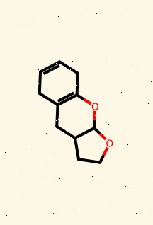 C1=CCC2=C(C1)CC1CCOC1O2